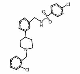 O=S(=O)(NCc1cccc(C2CCN(Cc3ccccc3Cl)CC2)c1)c1ccc(Cl)cc1